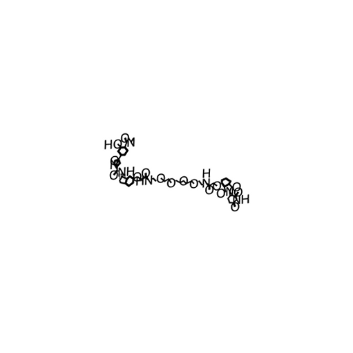 CN(C)C(=O)c1ccc(-c2cc(C(=O)N[C@@H]3CCc4ccc(OCC(=O)NCCOCCOCCOCCOCCNC(=O)COc5cccc6c5C(=O)N(C5CCC(=O)NC5=O)C6=O)cc43)no2)cc1O